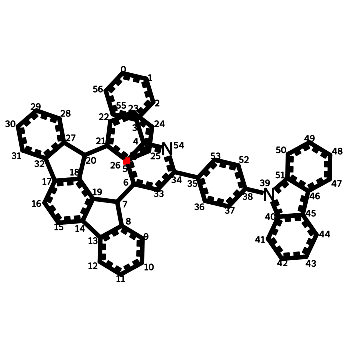 c1ccc(-c2cc(C3c4ccccc4-c4ccc5c(c43)C(c3ccccc3)c3ccccc3-5)cc(-c3ccc(-n4c5ccccc5c5ccccc54)cc3)n2)cc1